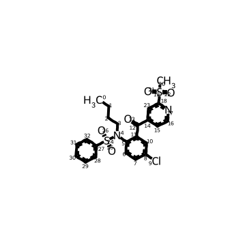 CCCCN(c1ccc(Cl)cc1C(=O)c1ccnc(S(C)(=O)=O)c1)S(=O)(=O)c1ccccc1